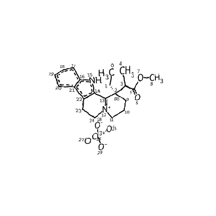 CC[C@]1(C(C)C(=O)OC)CCC[N+]2=C1c1[nH]c3ccccc3c1CC2.[O-][Cl+3]([O-])([O-])[O-]